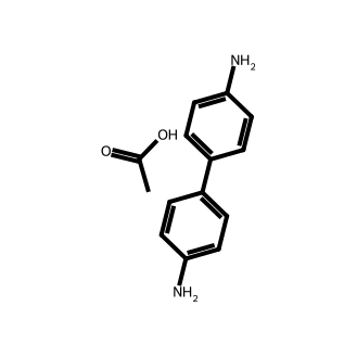 CC(=O)O.Nc1ccc(-c2ccc(N)cc2)cc1